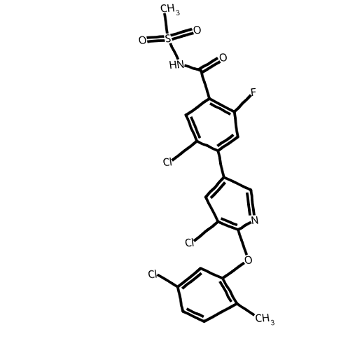 Cc1ccc(Cl)cc1Oc1ncc(-c2cc(F)c(C(=O)NS(C)(=O)=O)cc2Cl)cc1Cl